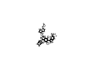 COC[C@H]1CC[C@@]2(COc3nc(N4CC5CCC(C4)N5)c4cc(Cl)c(-c5csc6ccc(N)nc56)c(F)c4n3)CCCN12